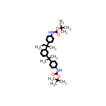 CCC(C)(c1ccc(NC(=O)OC(C)(C)C)cc1)c1cccc(C(C)(C)c2ccc(NC(=O)OC(C)(C)C)cc2)c1